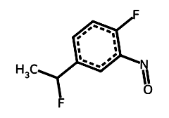 CC(F)c1ccc(F)c(N=O)c1